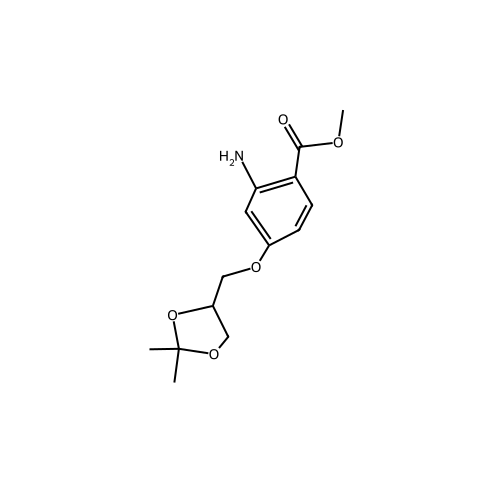 COC(=O)c1ccc(OCC2COC(C)(C)O2)cc1N